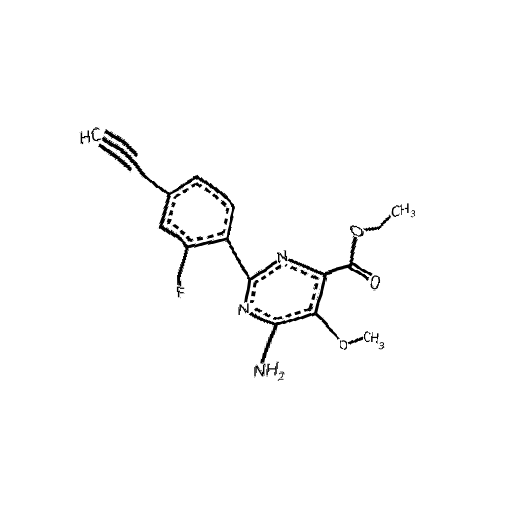 C#Cc1ccc(-c2nc(N)c(OC)c(C(=O)OC)n2)c(F)c1